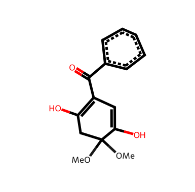 COC1(OC)CC(O)=C(C(=O)c2ccccc2)C=C1O